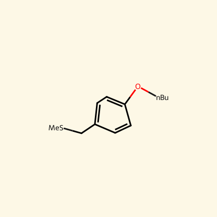 CCCCOc1ccc(CSC)cc1